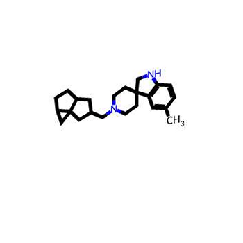 Cc1ccc2c(c1)C1(CCN(CC3CC4CCC5CC45C3)CC1)CN2